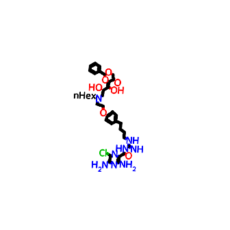 CCCCCCN(CCOc1ccc(CCCCNC(=N)NC(=O)c2nc(Cl)c(N)nc2N)cc1)C[C@H](O)/C(O)=C1\OC(c2ccccc2)OCC1=O